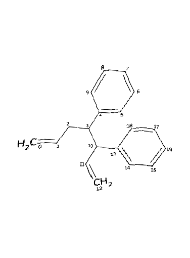 C=CCC(c1ccccc1)C(C=C)c1ccccc1